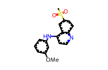 COc1cccc(Nc2ccnc3ccc(S(C)(=O)=O)cc23)c1